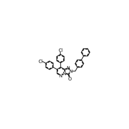 O=c1n(Cc2ccc(-c3ccccc3)cc2)nc2c(-c3ccc(Cl)cc3)c(-c3ccc(Cl)cc3)cnn12